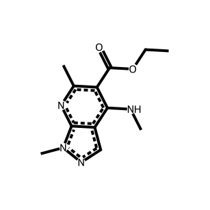 CCOC(=O)c1c(C)nc2c(cnn2C)c1NC